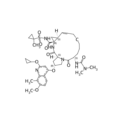 COc1ccc2c(O[C@@H]3C[C@H]4C(=O)N[C@]5(C(=O)NS(=O)(=O)C6(C)CC6)C[C@H]5C=CCCCCC[C@H](NC(=O)N(C)C)C(=O)N4C3)cc(OC3CC3)nc2c1C